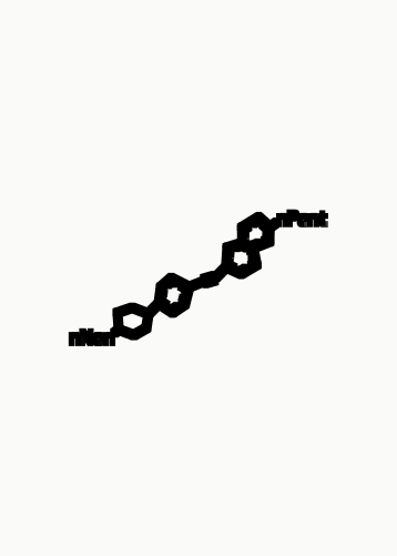 CCCCCCCCCC1CCC(c2ccc(C#Cc3ccc4cc(CCCCC)ccc4c3)cc2)CC1